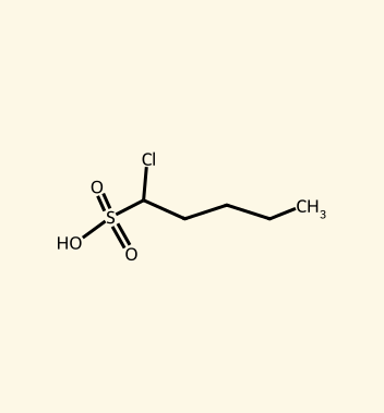 CCCCC(Cl)S(=O)(=O)O